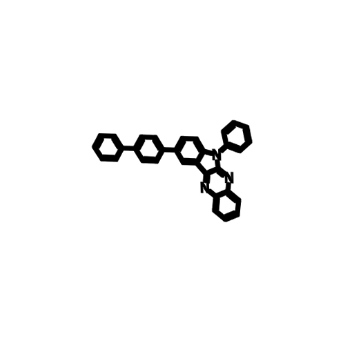 c1ccc(-c2ccc(-c3ccc4c(c3)c3nc5ccccc5nc3n4-c3ccccc3)cc2)cc1